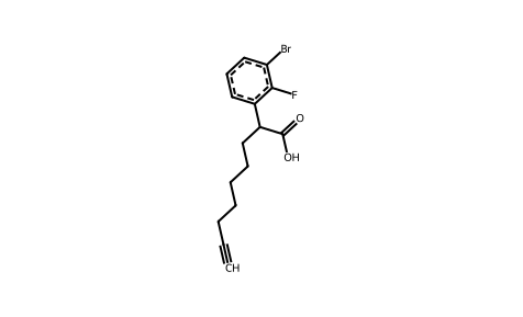 C#CCCCCCC(C(=O)O)c1cccc(Br)c1F